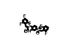 O=C1Nc2cc(S(=O)(=O)Cc3c(F)cccc3F)ccc2S/C1=C\c1c(F)cc(F)cc1F